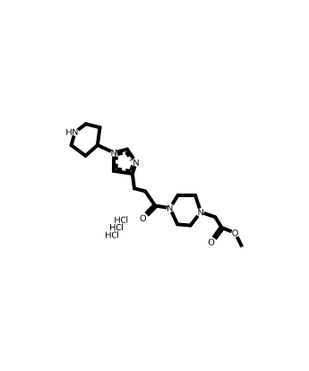 COC(=O)CN1CCN(C(=O)CCc2cn(C3CCNCC3)cn2)CC1.Cl.Cl.Cl